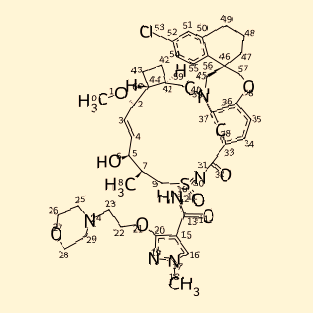 CO[C@H]1/C=C/[C@H](O)[C@H](C)C[S@@](=O)(NC(=O)c2cn(C)nc2OCCN2CCOCC2)=NC(=O)c2ccc3c(c2)N(C[C@@H]2CC[C@H]21)C[C@@]1(CCCc2cc(Cl)ccc21)CO3